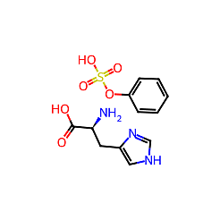 N[C@@H](Cc1c[nH]cn1)C(=O)O.O=S(=O)(O)Oc1ccccc1